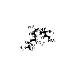 CCC[C@H](NC(=O)[C@](C)(N)C(=O)CNC)C(=O)NC(CP(=O)(O)C(C)N)C(=O)O